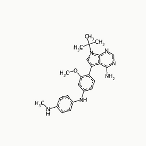 CNc1ccc(Nc2ccc(-c3cn(C(C)(C)C)c4ncnc(N)c34)c(OC)c2)cc1